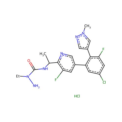 CCN(N)C(=O)NC(C)c1ncc(-c2cc(Cl)cc(F)c2-c2cnn(C)c2)cc1F.Cl